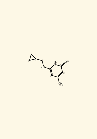 Cc1cc(OCC2CC2)[nH]c(=O)c1